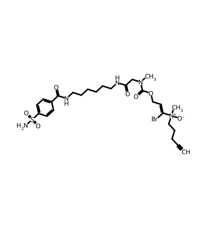 C#CCCC[N+](C)([O-])C(Br)=CCOC(=O)N(C)CC(=O)NCCCCCCNC(=O)c1ccc(S(N)(=O)=O)cc1